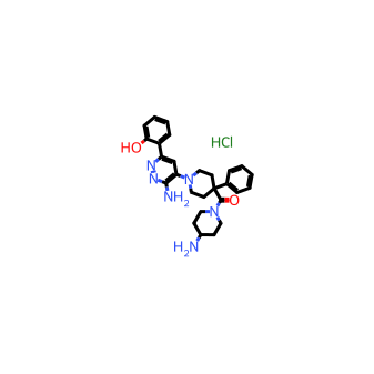 Cl.Nc1nnc(-c2ccccc2O)cc1N1CCC(C(=O)N2CCC(N)CC2)(c2ccccc2)CC1